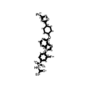 CCC(=O)NS(=O)(=O)c1ccc(-n2cnc3c(OC4CCC(c5nc(C(C)C)no5)CC4)ncnc32)c(F)c1